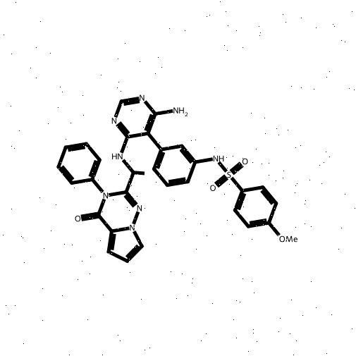 COc1ccc(S(=O)(=O)Nc2cccc(-c3c(N)ncnc3NC(C)c3nn4cccc4c(=O)n3-c3ccccc3)c2)cc1